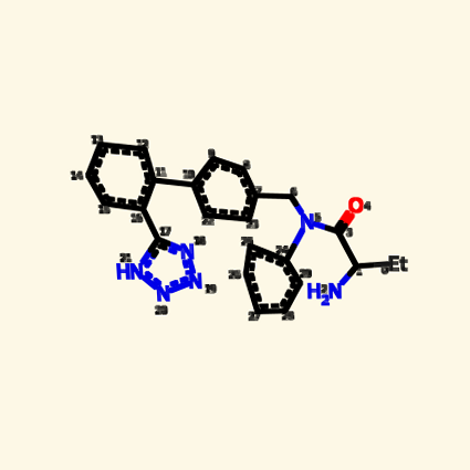 CCC(N)C(=O)N(Cc1ccc(-c2ccccc2-c2nnn[nH]2)cc1)c1ccccc1